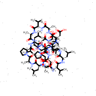 CC(=O)N[C@@H](C)C(=O)N[C@@H](C)C(=O)N[C@H](C(=O)N[C@@H](C)C(=O)N[C@@H](CC(C)C)C(=O)N[C@@H](CC(C)C)C(=O)N1CCC[C@H]1C(=O)N[C@@H](C)C(=O)N[C@H](C(=O)N[C@@H](CC(C)C)C(=O)N[C@@H](CC(C)C)C(=O)N[C@@H](C)C(=O)N[C@@H](CC(C)C)C(=O)N[C@@H](CC(C)C)C(=O)N[C@@H](C)C(=O)N1CCC[C@H]1C(=O)N[C@@H](CC(C)C)C(=O)N[C@@H](CCC(=O)O)C(=O)N[C@H](C(=O)N[C@@H](CC(=O)O)C(=O)O)C(C)C)C(C)C)C(C)C